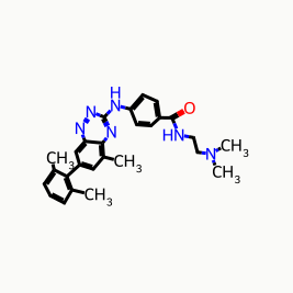 Cc1cccc(C)c1-c1cc(C)c2nc(Nc3ccc(C(=O)NCCN(C)C)cc3)nnc2c1